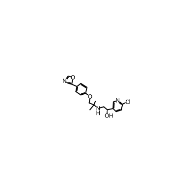 CC(C)(COc1ccc(-c2cnco2)cc1)NC[C@H](O)c1ccc(Cl)nc1